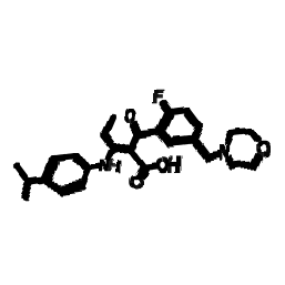 CCC(Nc1ccc(C(C)C)cc1)=C(C(=O)O)C(=O)c1cc(CN2CCOCC2)ccc1F